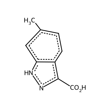 Cc1ccc2c(C(=O)O)n[nH]c2c1